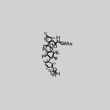 [2H]C([2H])([2H])Oc1cccc(-c2c(F)c(F)c(NC(=O)c3sc(C)cc3C(=O)NOC)c(F)c2F)c1